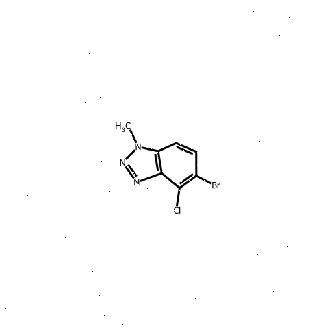 Cn1nnc2c(Cl)c(Br)ccc21